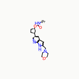 CC(C)NC(=O)OC1CCC(c2cnc3[nH]c(CN4CCOCC4)cc3c2)C1